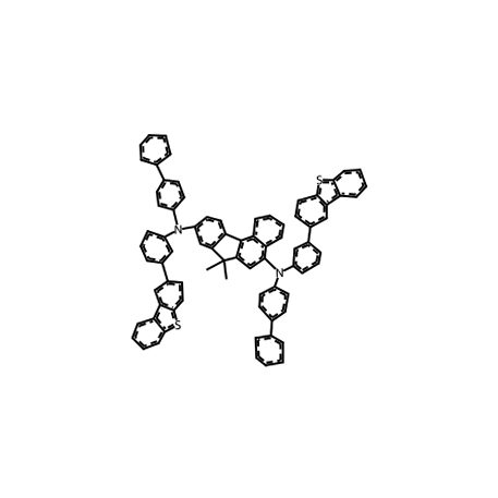 CC1(C)c2cc(N(c3ccc(-c4ccccc4)cc3)c3cccc(-c4ccc5sc6ccccc6c5c4)c3)ccc2-c2c1cc(N(c1ccc(-c3ccccc3)cc1)c1cccc(-c3ccc4sc5ccccc5c4c3)c1)c1ccccc21